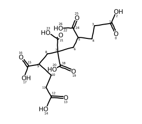 O=C(O)CCC(CC(CC(CCC(=O)O)C(=O)O)(C(=O)O)C(=O)O)C(=O)O